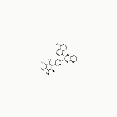 [2H]c1c([2H])c([2H])c(-c2ccc(-c3nc4ncccc4nc3-c3cccc4c(Cl)cccc34)cc2)c([2H])c1[2H]